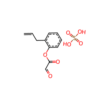 C=CCc1ccccc1OC(=O)C=O.O=S(=O)(O)O